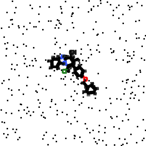 Cc1c(-c2ccc(OCc3ccccc3)cc2)c(Cl)n2c(nc3ccccc32)c1C#N